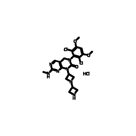 CNc1ncc2c(n1)N(C1CN(C3CNC3)C1)C(=O)N(c1c(Cl)c(OC)cc(OC)c1Cl)C2.Cl